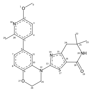 COc1ccc(-c2ccc3c(c2)N(c2nc4c(s2)C(=O)NC(C)(C)C4)CCO3)c(C)n1